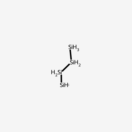 [SiH][SiH2][SiH2][SiH3]